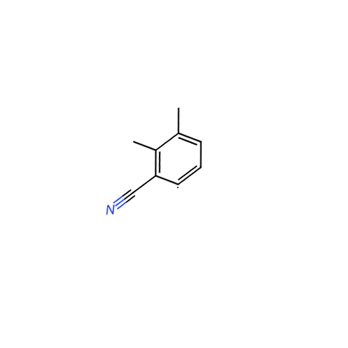 Cc1cc[c]c(C#N)c1C